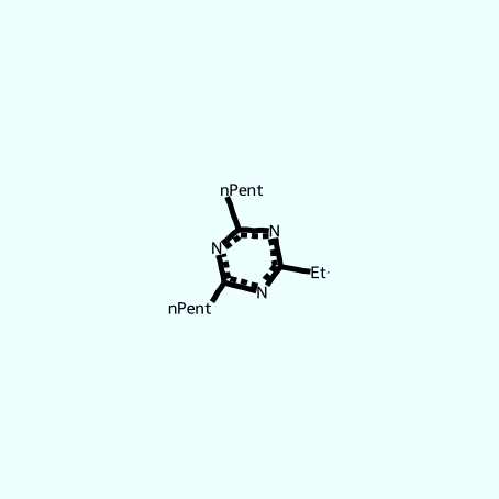 C[CH]c1nc(CCCCC)nc(CCCCC)n1